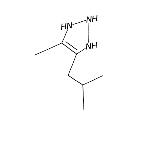 CC1=C(CC(C)C)NNN1